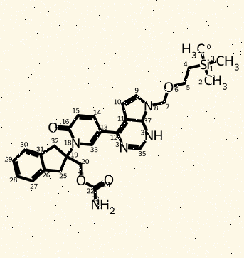 C[Si](C)(C)CCOCN1C=CC2=C(c3ccc(=O)n(C4(COC(N)=O)Cc5ccccc5C4)c3)N=CNC21